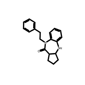 O=C1C2CCCC2Nc2ccccc2N1CCc1ccccc1